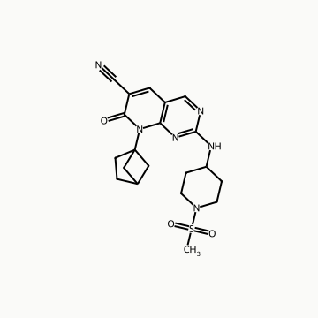 CS(=O)(=O)N1CCC(Nc2ncc3cc(C#N)c(=O)n(C45CCC(C4)C5)c3n2)CC1